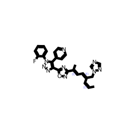 C\C=C/C(=C\C=C(/C)c1noc(-c2nnn(-c3ccccc3F)c2-c2ccncc2)n1)Cn1cncn1